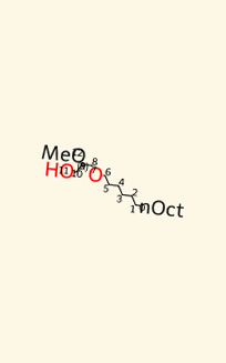 CCCCCCCCCCCCCCOC[C@@H](CO)OC